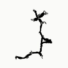 CCOC(=O)C1CC1COS(C)(=O)=O